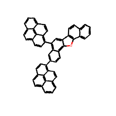 c1ccc2c(c1)ccc1c3cc(-c4ccc5ccc6cccc7ccc4c5c67)c4cc(-c5ccc6ccc7cccc8ccc5c6c78)ccc4c3oc21